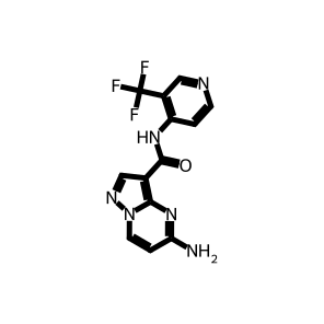 Nc1ccn2ncc(C(=O)Nc3ccncc3C(F)(F)F)c2n1